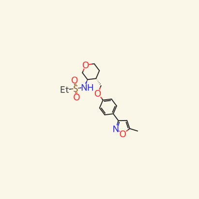 CCS(=O)(=O)N[C@H]1COCC[C@@H]1COc1ccc(-c2cc(C)on2)cc1